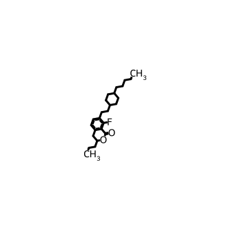 CCCCCC1CCC(CCc2ccc3c(c2F)C(=O)OC(CCC)C3)CC1